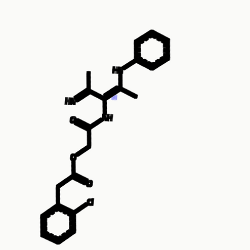 CC(=N)/C(NC(=O)COC(=O)Cc1ccccc1Cl)=C(/C)Nc1ccccc1